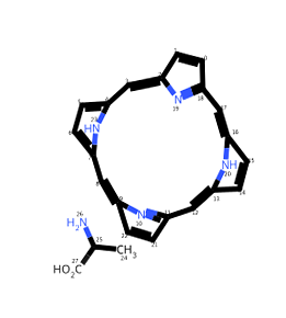 C1=Cc2cc3ccc(cc4nc(cc5ccc(cc1n2)[nH]5)C=C4)[nH]3.CC(N)C(=O)O